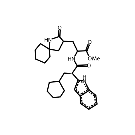 COC(=O)C(CC1CC2(CCCCC2)NC1=O)NC(=O)[C@H](CC1CCCCC1)c1cc2ccccc2[nH]1